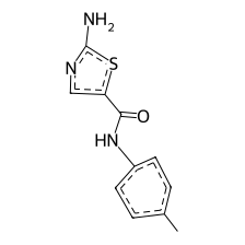 Cc1ccc(NC(=O)c2cnc(N)s2)cc1